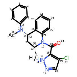 CC(=O)N(c1ccccc1)[C@H]1C[C@@H](C)N(C(=O)c2[nH]ncc2Cl)c2ccccc21